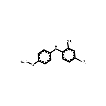 Nc1cc([N+](=O)[O-])ccc1Nc1ccc(OC(=O)O)cc1